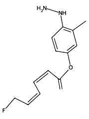 C=C(/C=C\C=C/CF)Oc1ccc(NN)c(C)c1